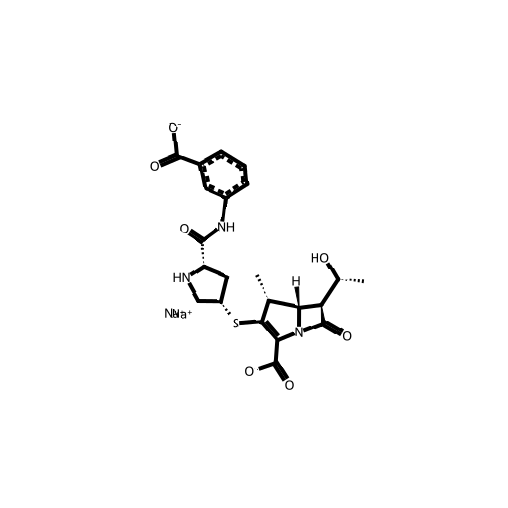 C[C@@H](O)[C@H]1C(=O)N2C(C(=O)[O-])=C(S[C@@H]3CN[C@H](C(=O)Nc4cccc(C(=O)[O-])c4)C3)[C@H](C)[C@H]12.[Na+].[Na+]